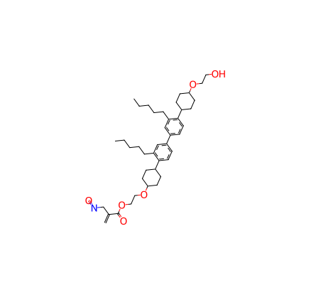 C=C(CN=O)C(=O)OCCOC1CCC(c2ccc(-c3ccc(C4CCC(OCCO)CC4)c(CCCCC)c3)cc2CCCCC)CC1